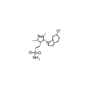 COc1ccc2ccn(-c3c(/C=C/S(N)(=O)=O)c(C)nn3C)c2c1